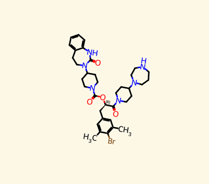 Cc1cc(C[C@@H](OC(=O)N2CCC(N3CCc4ccccc4NC3=O)CC2)C(=O)N2CCC(N3CCCNCC3)CC2)cc(C)c1Br